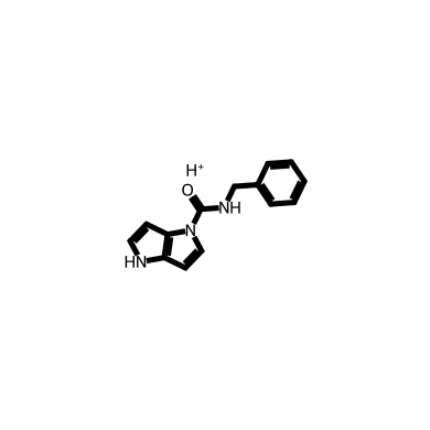 O=C(NCc1ccccc1)n1ccc2[nH]ccc21.[H+]